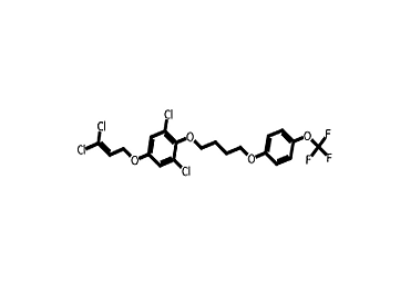 FC(F)(F)Oc1ccc(OCCCCOc2c(Cl)cc(OCC=C(Cl)Cl)cc2Cl)cc1